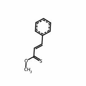 COC(=S)C=Cc1ccccc1